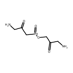 NCC(=O)CO[PH](=O)CC(=O)CN